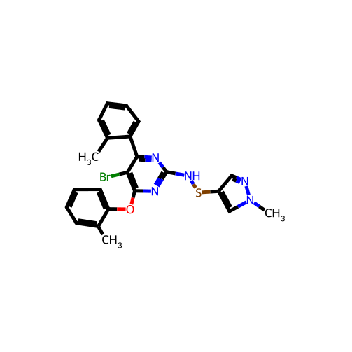 Cc1ccccc1Oc1nc(NSc2cnn(C)c2)nc(-c2ccccc2C)c1Br